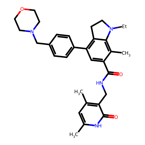 CCN1CCc2c(-c3ccc(CN4CCOCC4)cc3)cc(C(=O)NCc3c(C)cc(C)[nH]c3=O)c(C)c21